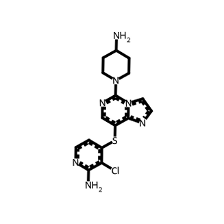 Nc1nccc(Sc2cnc(N3CCC(N)CC3)n3ccnc23)c1Cl